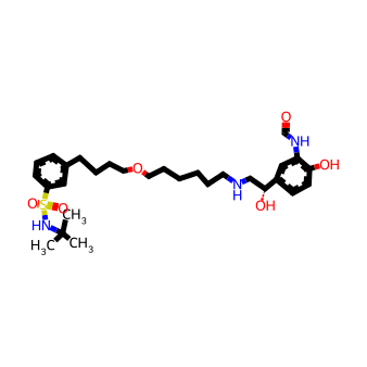 CC(C)(C)NS(=O)(=O)c1cccc(CCCCOCCCCCCNC[C@@H](O)c2ccc(O)c(NC=O)c2)c1